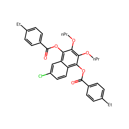 CCCOc1c(OCCC)c(OC(=O)c2ccc(CC)cc2)c2cc(Cl)ccc2c1OC(=O)c1ccc(CC)cc1